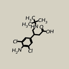 CC(C)(C)NCC(CC(=O)O)c1cc(Cl)c(N)c(Cl)c1